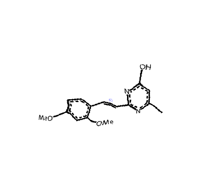 COc1ccc(/C=C/c2nc(C)cc(O)n2)c(OC)c1